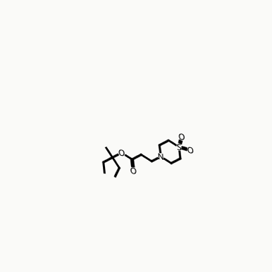 CCC(C)(CC)OC(=O)CCN1CCS(=O)(=O)CC1